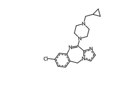 Clc1ccc2c(c1)N=C(N1CCN(CC3CC3)CC1)c1nccn1C2